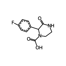 O=C1NCCN(C(=O)O)C1c1ccc(F)cc1